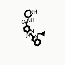 Cn1c(-c2cc3ccccc3n2CC2CC2)nc2cc(C(=O)NC3CCCCNC3)ccc21